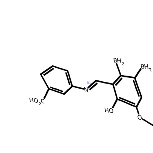 Bc1cc(OCC)c(O)c(/C=N/c2cccc(C(=O)O)c2)c1B